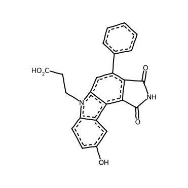 O=C(O)CCn1c2ccc(O)cc2c2c3c(c(-c4ccccc4)cc21)C(=O)NC3=O